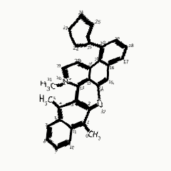 Cc1c2c(c(C)c3ccccc13)-c1c3c(cc4cccc(C5CCCC5)c4c3cc[n+]1C)O2